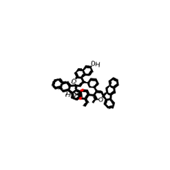 C=Cc1cc(O)ccc1C1=C(C)OC2(C=C1C1=CC=CC(C3=CC4(Oc5ccc6cc(O)ccc6c53)c3ccccc3-c3cc5ccccc5cc34)C1)c1ccccc1-c1cc3ccccc3cc12